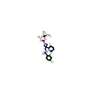 CC(C)(C)OC(=O)N1CC(CNC(=O)c2ccc(Cl)cc2Cl)(c2ncccc2F)C1